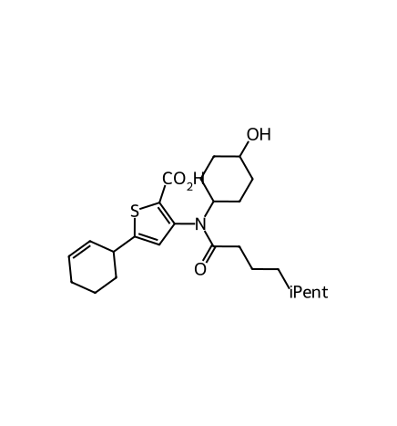 CCCC(C)CCCC(=O)N(c1cc(C2C=CCCC2)sc1C(=O)O)C1CCC(O)CC1